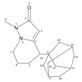 Cn1c(=O)cc2n1CCCC2C12CC3CC(CC(C3)C1)C2